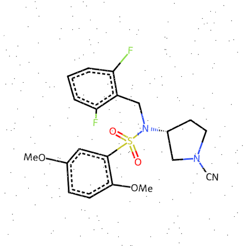 COc1ccc(OC)c(S(=O)(=O)N(Cc2c(F)cccc2F)[C@@H]2CCN(C#N)C2)c1